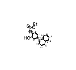 CCO[PH](=O)Oc1ccc(-c2cccc3ccccc23)cc1O